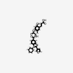 O=C(O)/C=C/c1cc(C[C@H](NC(=O)c2ccc3c(c2)nc(-c2ccoc2)n3C2CCCCC2)C(=O)O)ccc1O